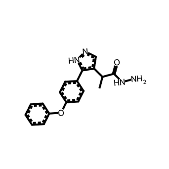 CC(C(=O)NN)c1cn[nH]c1-c1ccc(Oc2ccccc2)cc1